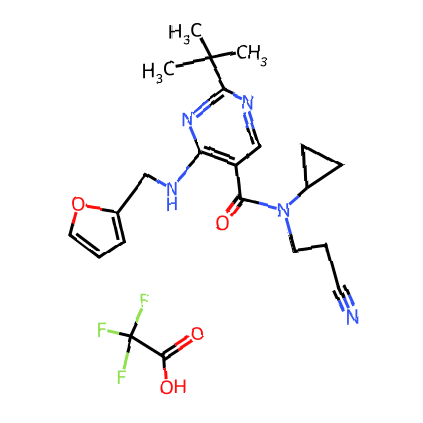 CC(C)(C)c1ncc(C(=O)N(CCC#N)C2CC2)c(NCc2ccco2)n1.O=C(O)C(F)(F)F